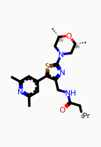 Cc1cc(-c2sc(N3C[C@@H](C)O[C@@H](C)C3)nc2CNC(=O)CC(C)C)cc(C)n1